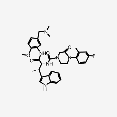 COc1ccc(CN(C)C)cc1NC(=O)[C@H](NC(=O)N1CCN(c2ccc(F)cc2C)C(=O)C1)[C@@H](C)c1c[nH]c2ccccc12